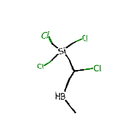 CBC(Cl)[Si](Cl)(Cl)Cl